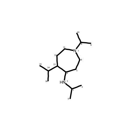 CC(C)NC1CCN(C(C)C)CCC1C(C)C